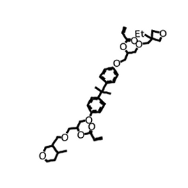 C=CC(=O)OC(COCC1COCCC1C)COc1ccc(C(C)(C)c2ccc(OCC(COCC3(CC)COC3)OC(=O)C=C)cc2)cc1